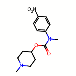 CN1CCC(OC(=O)N(C)c2ccc([N+](=O)[O-])cc2)CC1